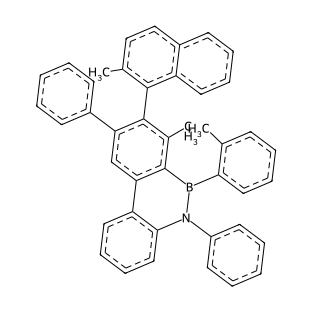 Cc1ccccc1B1c2c(cc(-c3ccccc3)c(-c3c(C)ccc4ccccc34)c2C)-c2ccccc2N1c1ccccc1